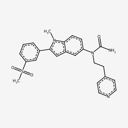 Cn1c(-c2cccc(S(C)(=O)=O)c2)cc2cc(N(CCc3ccncc3)C(N)=O)ccc21